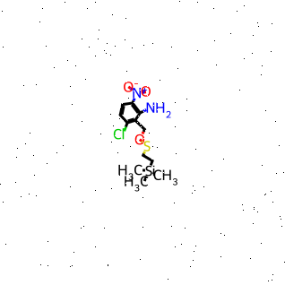 C[Si](C)(C)CCSOCc1c(Cl)ccc([N+](=O)[O-])c1N